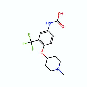 CN1CCC(Oc2ccc(NC(=O)O)cc2C(F)(F)F)CC1